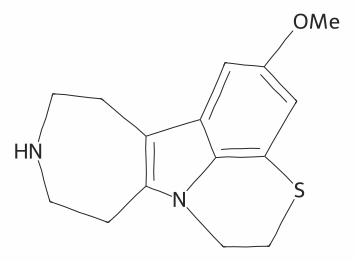 COc1cc2c3c(c1)c1c(n3CCS2)CCNCC1